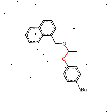 CCC(C)c1ccc(OC(C)OCc2cccc3ccccc23)cc1